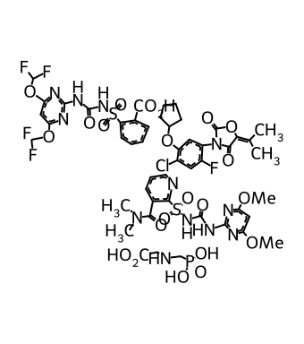 CC(C)=C1OC(=O)N(c2cc(OC3CCCC3)c(Cl)cc2F)C1=O.COc1cc(OC)nc(NC(=O)NS(=O)(=O)c2ncccc2C(=O)N(C)C)n1.O=C(Nc1nc(OC(F)F)cc(OC(F)F)n1)NS(=O)(=O)c1ccccc1C(=O)O.O=C(O)CNCP(=O)(O)O